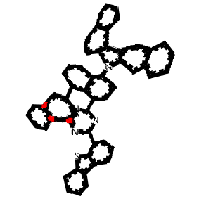 c1ccc(-c2nc(-c3cccc4c3sc3ccccc34)nc(-c3ccc(-n4c5cc6ccccc6cc5c5c6ccccc6ccc54)c4cccc(-c5ccccc5)c34)n2)cc1